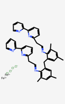 Cc1cc(C)c(N=CCc2cccc(-c3ccccn3)n2)c(Cc2cc(C)cc(C)c2N=CCc2cccc(-c3ccccn3)n2)c1.[Cl-].[Cl-].[Cl-].[Cl-].[Fe+2].[Fe+2]